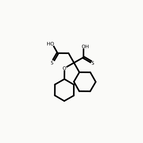 OC(=S)CC(OC1CCCCC1)(C(O)=S)C1CCCCC1